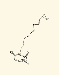 Cn1ccc(=O)n(CCCCCCCCCC2CO2)c1=O